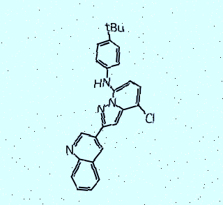 CC(C)(C)c1ccc(Nc2ccc(Cl)c3cc(-c4cnc5ccccc5c4)nn23)cc1